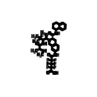 CN[C@@H](C)C(=O)NC(C(=O)N1Cc2cc(NC(=O)C(F)(F)C(F)(F)C(F)(F)C(=O)O)ccc2C[C@H]1C(=O)N[C@@H]1CCCc2ccccc21)C(C)(C)C